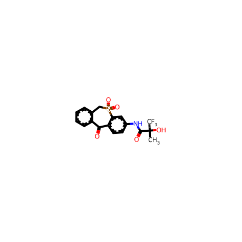 CC(O)(C(=O)Nc1ccc2c(c1)S(=O)(=O)Cc1ccccc1C2=O)C(F)(F)F